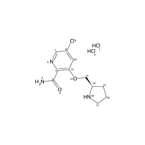 Cl.Cl.NC(=O)c1ncc(Cl)cc1OC[C@H]1CCCN1